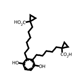 O=C(O)C1(CCCCCCc2c(O)ccc(O)c2CCCCCC2(C(=O)O)CC2)CC1